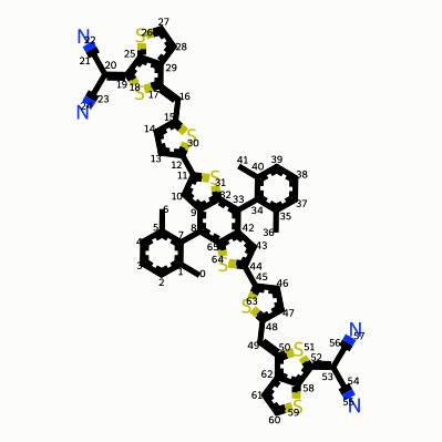 Cc1cccc(C)c1-c1c2cc(-c3ccc(/C=c4\sc(=C(C#N)C#N)c5sccc45)s3)sc2c(-c2c(C)cccc2C)c2cc(-c3ccc(/C=c4\sc(=C(C#N)C#N)c5sccc45)s3)sc12